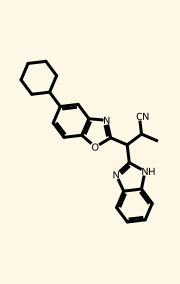 CC(C#N)C(c1nc2ccccc2[nH]1)c1nc2cc(C3CCCCC3)ccc2o1